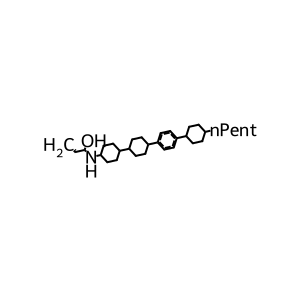 C=CC(O)NC1CCC(C2CCC(c3ccc(C4CCC(CCCCC)CC4)cc3)CC2)CC1